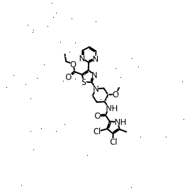 CCOC(=O)c1sc(N2CCC(NC(=O)c3[nH]c(C)c(Cl)c3Cl)C(OC)C2)nc1-c1ncccn1